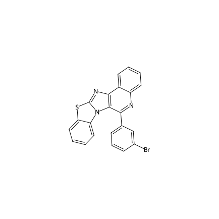 Brc1cccc(-c2nc3ccccc3c3nc4sc5ccccc5n4c23)c1